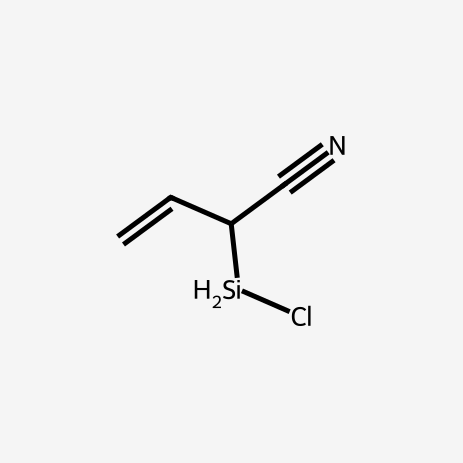 C=CC(C#N)[SiH2]Cl